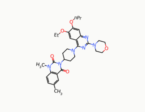 CCCOc1cc2nc(N3CCOCC3)nc(N3CCC(n4c(=O)c5cc(C)ccc5n(C)c4=O)CC3)c2cc1OCC